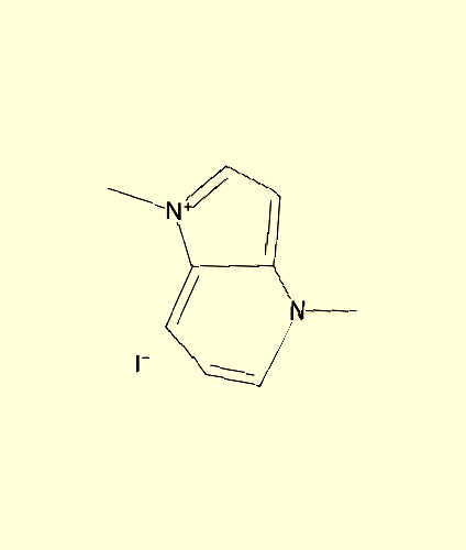 Cn1cccc2[n+](C)ccc1-2.[I-]